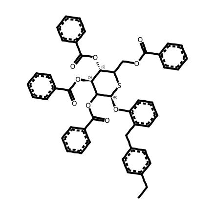 CCc1ccc(Cc2ccccc2O[C@@H]2SC(COC(=O)c3ccccc3)[C@@H](OC(=O)c3ccccc3)[C@H](OC(=O)c3ccccc3)C2OC(=O)c2ccccc2)cc1